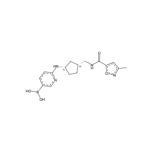 Cc1cc(C(=O)NC[C@@H]2CC[C@H](Nc3ccc(B(O)O)cn3)C2)on1